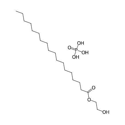 CCCCCCCCCCCCCCCCCC(=O)OCCO.O=P(O)(O)O